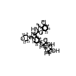 CC(NC(=O)c1nc(N2CCOCC2)n2ccccc12)c1ccccc1Cl.O=C(O)C(F)(F)F.O=C(O)C(F)(F)F